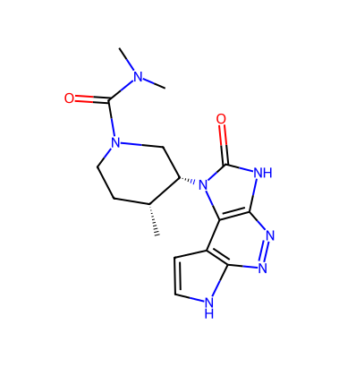 C[C@@H]1CCN(C(=O)N(C)C)C[C@@H]1n1c(=O)[nH]c2nnc3[nH]ccc3c21